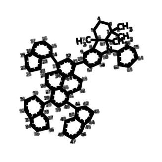 CC1(C)CCCC2(C)c3cc(-c4cc(-c5cccc6ccccc56)c5ccc6c(-c7cccc8ccccc78)cc(-c7cccc8ccccc78)c7ccc4c5c76)ccc3N(c3ccccc3)C12C